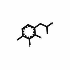 Cc1ccc(CC(C)C)c(F)c1F